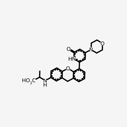 CC(Nc1ccc2c(c1)Cc1cccc(-c3cc(N4CCOCC4)cc(=O)[nH]3)c1O2)C(=O)O